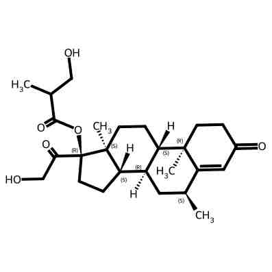 CC(CO)C(=O)O[C@]1(C(=O)CO)CC[C@H]2[C@@H]3C[C@H](C)C4=CC(=O)CC[C@]4(C)[C@H]3CC[C@@]21C